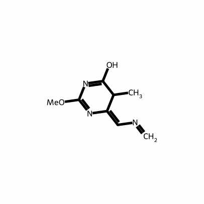 C=N/C=C1/N=C(OC)N=C(O)C1C